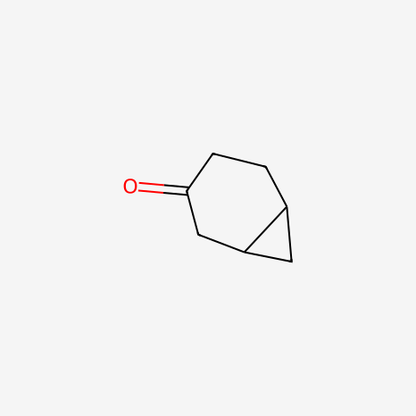 O=C1CCC2CC2C1